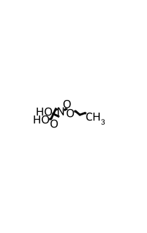 CCCCOC(=O)N1CC(O)(C(=O)O)C1